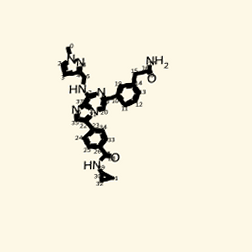 Cn1ccc(CNc2nc(-c3cccc(CC(N)=O)c3)cn3c(-c4ccc(C(=O)NC5CC5)cc4)cnc23)n1